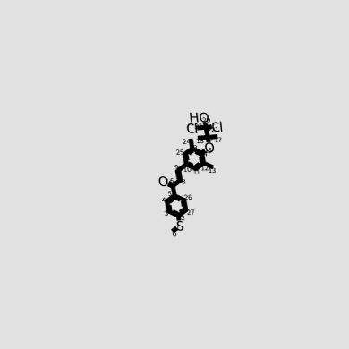 CSc1ccc(C(=O)/C=C/c2cc(C)c(OC(C)(C)C(O)(Cl)Cl)c(C)c2)cc1